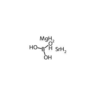 OB(O)O.[MgH2].[SrH2]